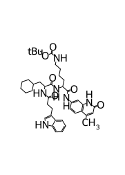 Cc1cc(=O)[nH]c2cc(NC(=O)C(CCCCNC(=O)OC(C)(C)C)NC(=O)C(CC3CCCCC3)NC(=O)CCc3c[nH]c4ccccc34)ccc12